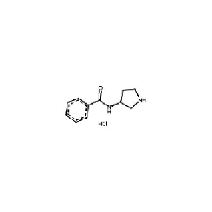 Cl.O=C(N[C@H]1CCNC1)c1ccccc1